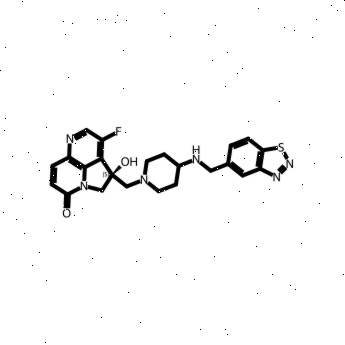 O=c1ccc2ncc(F)c3c2n1C[C@@]3(O)CN1CCC(NCc2ccc3snnc3c2)CC1